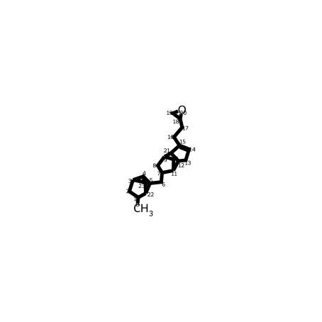 CC1CC2C=C(CC3CC4CC3C3CC=C(CCC5CO5)C43)C1C2